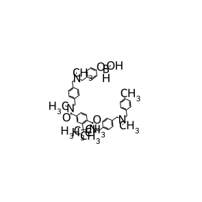 Cc1ccc(CN(C)Cc2ccc(CN(C)C(=O)c3ccc(C(=O)N(C)Cc4ccc(CN(C)Cc5ccc(OBO)cc5)cc4)cc3C(C)(C)C)cc2)cc1